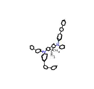 CC1(C)c2cc(N(c3ccccc3)c3ccc(-c4ccc(-c5ccccc5)cc4)cc3)ccc2-c2ccc(N(c3ccc(-c4ccccc4)cc3)c3ccc(-c4cccc(-c5ccccc5)c4)cc3)cc21